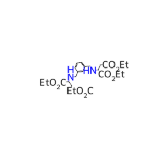 CCOC(=O)CC(NCc1cccc(CNC(CC(=O)OCC)C(=O)OCC)c1)C(=O)OCC